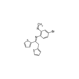 C=Nc1cc(Br)ccc1/N=C(\Cc1cccs1)c1cccs1